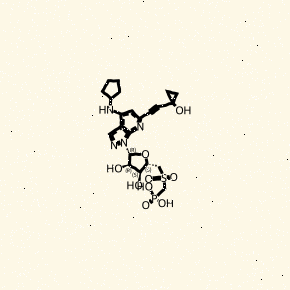 O=P(O)(O)CS(=O)(=O)C[C@H]1O[C@@H](n2ncc3c(NC4CCCC4)cc(C#CC4(O)CC4)nc32)[C@H](O)[C@@H]1O